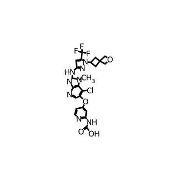 Cn1c(Nc2cc(C(F)(F)F)n(C3CC4(COC4)C3)n2)nc2ncc(Oc3ccnc(NC(=O)O)c3)c(Cl)c21